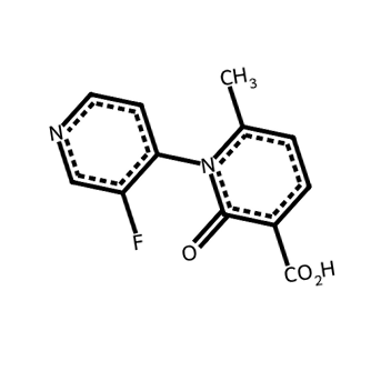 Cc1ccc(C(=O)O)c(=O)n1-c1ccncc1F